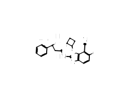 C[C@](O)(CC(=O)Nc1nc2ccc(Cl)c(C#N)c2n1C1CCC1)c1ccccc1